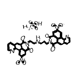 CS(=O)(=O)O.O=C1c2cc([N+](=O)[O-])cc3c2c(cc2cccnc23)C(=O)N1CCCNCCN1C(=O)c2cc([N+](=O)[O-])cc3c2c(cc2cccnc23)C1=O